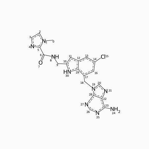 Cn1ccnc1C(=O)NCc1cc2cc(Cl)cc(Cn3cnc4c(N)ncnc43)c2[nH]1